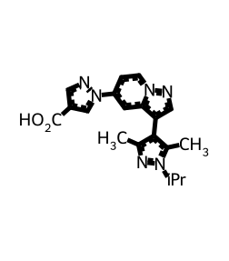 Cc1nn(C(C)C)c(C)c1-c1cnn2ccc(-n3cc(C(=O)O)cn3)cc12